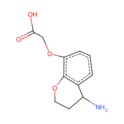 NC1CCOc2c(OCC(=O)O)cccc21